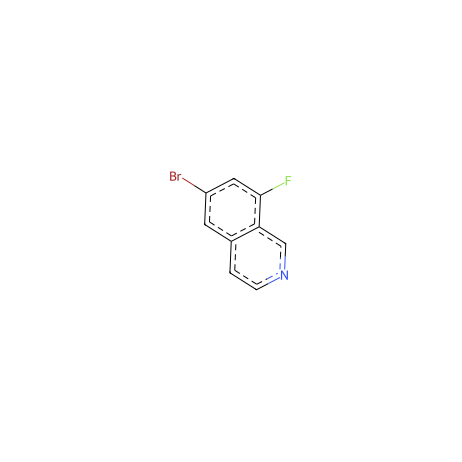 Fc1cc(Br)cc2ccncc12